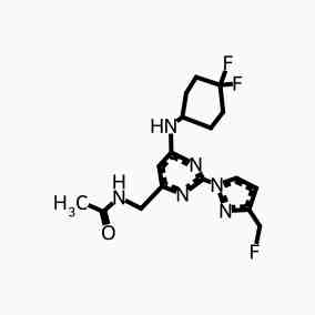 CC(=O)NCc1cc(NC2CCC(F)(F)CC2)nc(-n2ccc(CF)n2)n1